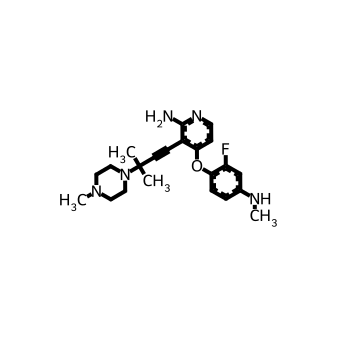 CNc1ccc(Oc2ccnc(N)c2C#CC(C)(C)N2CCN(C)CC2)c(F)c1